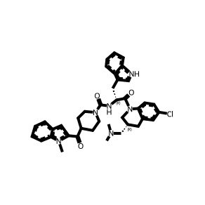 CN(C)C[C@H]1Cc2cc(Cl)ccc2N(C(=O)[C@@H](Cc2c[nH]c3ccccc23)NC(=O)N2CCC(C(=O)c3cc4ccccc4n3C)CC2)C1